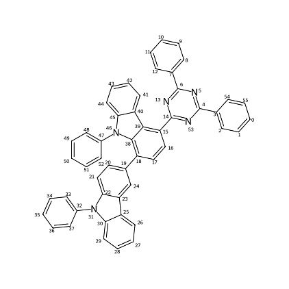 c1ccc(-c2nc(-c3ccccc3)nc(-c3ccc(-c4ccc5c(c4)c4ccccc4n5-c4ccccc4)c4c3c3ccccc3n4-c3ccccc3)n2)cc1